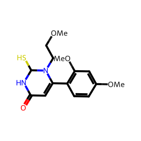 COCCN1C(c2ccc(OC)cc2OC)=CC(=O)NC1S